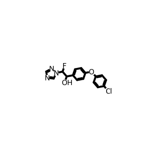 OC(c1ccc(Oc2ccc(Cl)cc2)cc1)C(F)n1cncn1